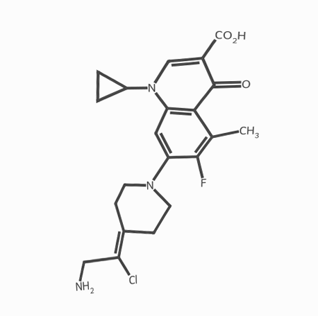 Cc1c(F)c(N2CCC(=C(Cl)CN)CC2)cc2c1c(=O)c(C(=O)O)cn2C1CC1